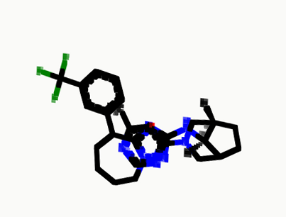 Cc1cc(N2CC3CC[C@@H](C2)[C@@H]3Nc2nc3n(n2)CCCCC3c2cccc(C(F)(F)F)c2)ncn1